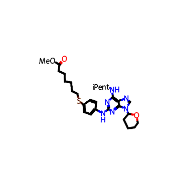 CCCC(C)Nc1nc(Nc2ccc(SCCCCCCC(=O)OC)cc2)nc2c1ncn2C1CCCCO1